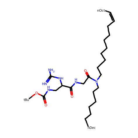 CCCCCCCC/C=C\CCCCCCCCN(CCCCCCCCCCCCCCCC)C(=O)CNC(=O)C(CNC(=O)OC(C)(C)C)NC(=N)N